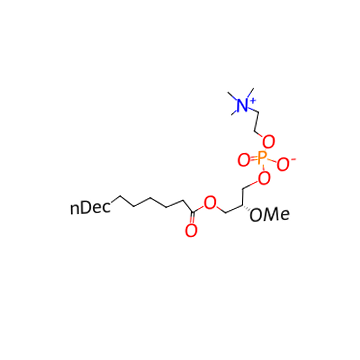 CCCCCCCCCCCCCCCC(=O)OC[C@H](COP(=O)([O-])OCC[N+](C)(C)C)OC